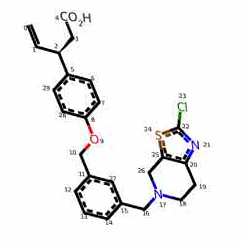 C=C[C@@H](CC(=O)O)c1ccc(OCc2cccc(CN3CCc4nc(Cl)sc4C3)c2)cc1